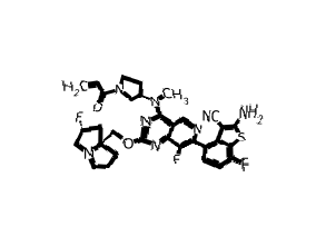 C=CC(=O)N1CC[C@@H](N(C)c2nc(OC[C@@]34CCCN3C[C@H](F)C4)nc3c(F)c(-c4ccc(F)c5sc(N)c(C#N)c45)ncc23)C1